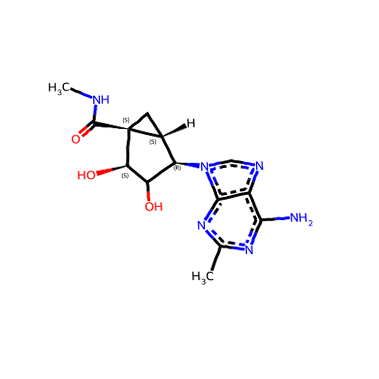 CNC(=O)[C@@]12C[C@@H]1[C@@H](n1cnc3c(N)nc(C)nc31)C(O)[C@H]2O